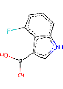 OB(O)c1c[nH]c2cccc(F)c12